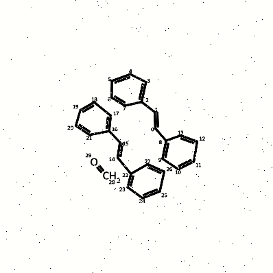 C(=Cc1ccccc1)c1ccccc1.C(=Cc1ccccc1)c1ccccc1.C=O